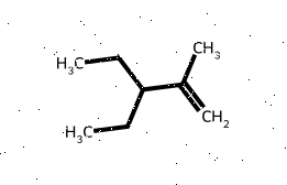 C=C(C)C(CC)CC